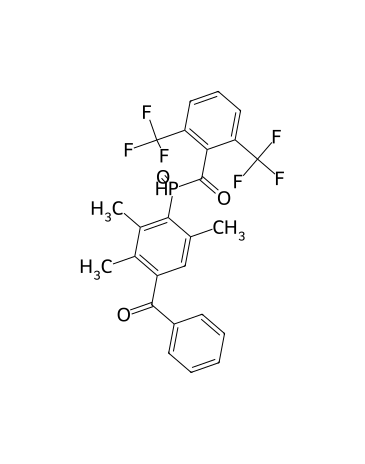 Cc1cc(C(=O)c2ccccc2)c(C)c(C)c1[PH](=O)C(=O)c1c(C(F)(F)F)cccc1C(F)(F)F